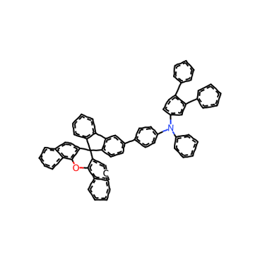 c1ccc(-c2ccc(N(c3ccccc3)c3ccc(-c4ccc5c(c4)-c4ccccc4C54c5ccc6ccccc6c5Oc5c4ccc4ccccc54)cc3)cc2-c2ccccc2)cc1